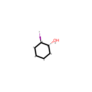 O[C@@H]1CCCC[C@H]1I